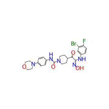 O=C(/C(=N/O)Nc1ccc(F)c(Br)c1)C1CCN(C(=O)Nc2ccc(N3CCOCC3)cc2)CC1